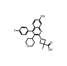 O=C(O)C1(F)CN(c2nc3cc(O)ccc3c(-c3ccc(F)cc3)c2C2CCOCC2)C1